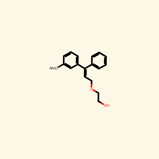 COc1cccc(C(=CCOCCO)c2ccccc2)c1